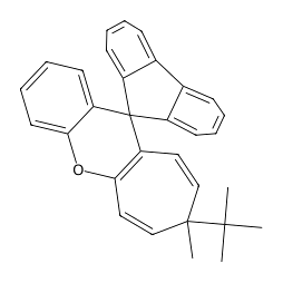 CC(C)(C)C1(C)C=CC2=C(C=C1)C1(c3ccccc3O2)c2ccccc2-c2ccccc21